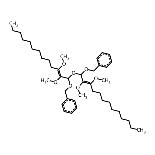 CCCCCCCCCCC(OC)=C(OC)C(OCc1ccccc1)OC(OCc1ccccc1)C(OC)=C(CCCCCCCCCC)OC